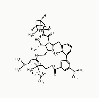 Cc1c(CN2O[C@@H](CNC(=O)CCN(C)C)[C@@H]([C@H](C)O)[C@H]2C(=O)N[C@H]2C[C@H]3C[C@@H]([C@@H]2C)C3(C)C)cccc1-c1cc(C(=O)N[C@H](CN(C)C)CC(C)(C)C)cc(N(C)C)c1